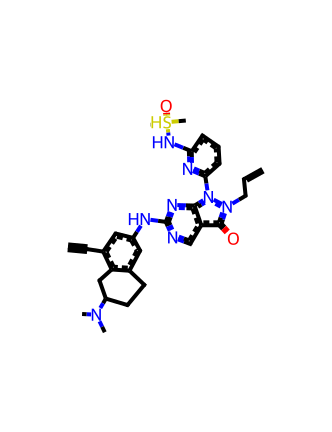 C#Cc1cc(Nc2ncc3c(=O)n(CC=C)n(-c4cccc(N[SH](C)(C)=O)n4)c3n2)cc2c1CC(N(C)C)CC2